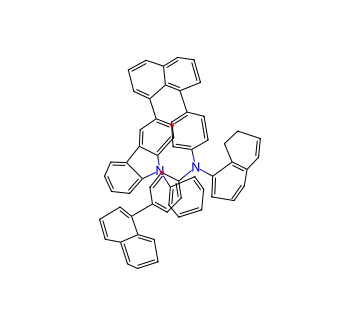 C1=Cc2cccc(N(c3ccc(-c4cccc5ccccc45)cc3)c3ccc(-c4cccc5cccc(-c6ccc7c(c6)c6ccccc6n7-c6ccccc6)c45)cc3)c2CC1